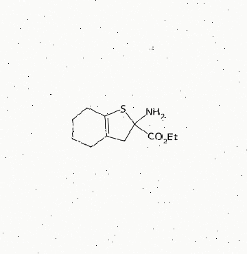 CCOC(=O)C1(N)CC2=C(CCCC2)S1